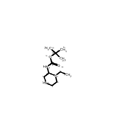 CCN1CCNCC1NC(=O)OC(C)(C)C